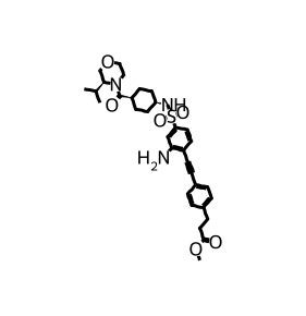 COC(=O)CCc1ccc(C#Cc2ccc(S(=O)(=O)N[C@H]3CC[C@H](C(=O)N4CCOC[C@@H]4C(C)C)CC3)cc2N)cc1